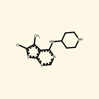 Cc1c(Cl)sc2ncnc(NC3CCNCC3)c12